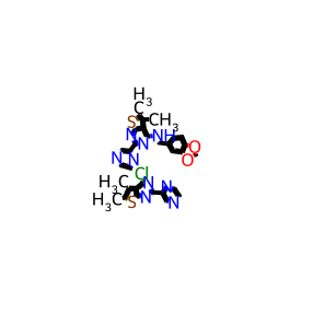 Cc1sc2nc(-c3cnccn3)nc(Cl)c2c1C.Cc1sc2nc(-c3cnccn3)nc(NCc3ccc4c(c3)OCO4)c2c1C